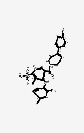 Cc1ccc(Nc2c(C(=O)N3CCC(c4ccc(F)cc4)CC3)cnc(S(=O)(=O)O)c2C)c(F)c1